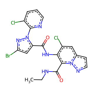 CCNC(=O)c1c(NC(=O)c2cc(Br)nn2-c2ncccc2Cl)c(Cl)cc2ccnn12